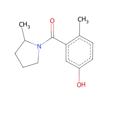 Cc1ccc(O)cc1C(=O)N1CCCC1C